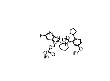 CC(C)OC(=O)OCn1c([C@]2(C)CCCCN2C(=O)c2cc(OC(C)C)ccc2C2CCCC2)nc2ncc(F)cc21